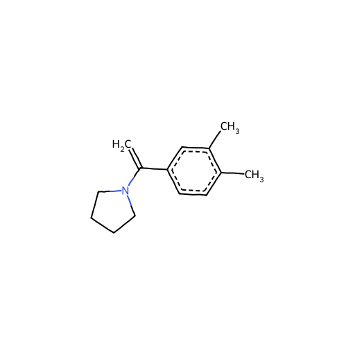 C=C(c1ccc(C)c(C)c1)N1CCCC1